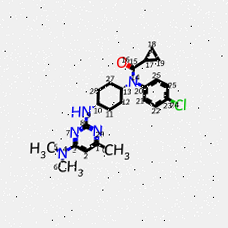 Cc1cc(N(C)C)nc(N[C@H]2CC[C@@H](N(C(=O)C3CC3)c3ccc(Cl)cc3)CC2)n1